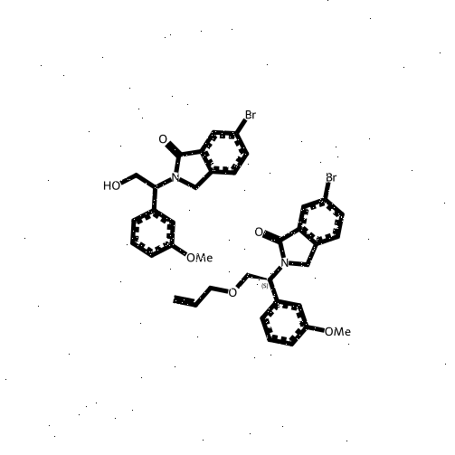 C=CCOC[C@H](c1cccc(OC)c1)N1Cc2ccc(Br)cc2C1=O.COc1cccc(C(CO)N2Cc3ccc(Br)cc3C2=O)c1